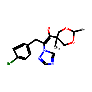 CCC1OCC(C)(/C(O)=C(/Cc2ccc(Br)cc2)n2cncn2)CO1